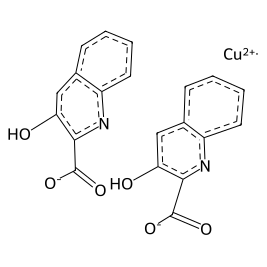 O=C([O-])c1nc2ccccc2cc1O.O=C([O-])c1nc2ccccc2cc1O.[Cu+2]